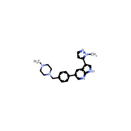 CN1CCN(Cc2ccc(-c3cnc4[nH]cc(-c5ccnn5C)c4c3)cc2)CC1